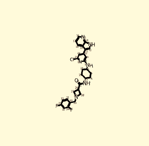 O=C(N[C@H]1CC[C@H](Nc2cc(-c3c[nH]c4ncccc34)cc(Cl)n2)CC1)C1CN(Cc2ccc(F)cc2F)C1